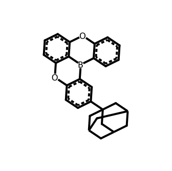 c1ccc2c(c1)Oc1cccc3c1B2c1cc(C24CC5CC(CC(C5)C2)C4)ccc1O3